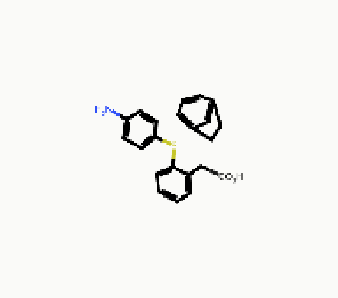 Nc1ccc(Sc2ccccc2CC(=O)O)cc1.c1cc2cc(c1)CC2